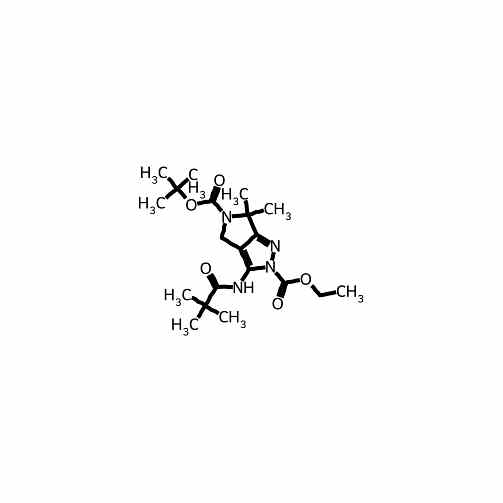 CCOC(=O)n1nc2c(c1NC(=O)C(C)(C)C)CN(C(=O)OC(C)(C)C)C2(C)C